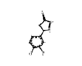 O=C1CC(c2ccc(Cl)c(Cl)c2)N=N1